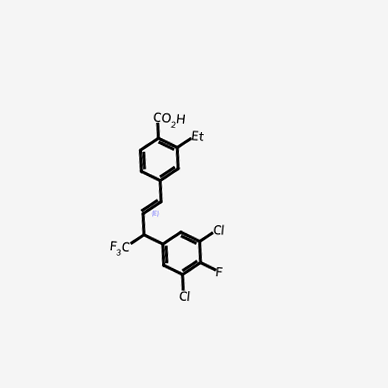 CCc1cc(/C=C/C(c2cc(Cl)c(F)c(Cl)c2)C(F)(F)F)ccc1C(=O)O